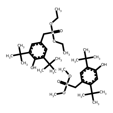 CCOP(=O)(Cc1cc(C(C)(C)C)c(O)c(C(C)(C)C)c1)OCC.COP(=O)(Cc1cc(C(C)(C)C)c(O)cc1C(C)(C)C)OC